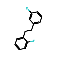 Fc1cccc(C[CH]c2ccccc2F)c1